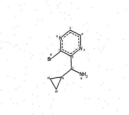 NC(c1nccnc1Br)C1CC1